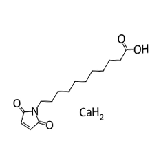 O=C(O)CCCCCCCCCCN1C(=O)C=CC1=O.[CaH2]